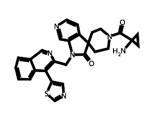 NC1(C(=O)N2CCC3(CC2)C(=O)N(Cc2ncc4ccccc4c2-c2cncs2)c2cnccc23)CC1